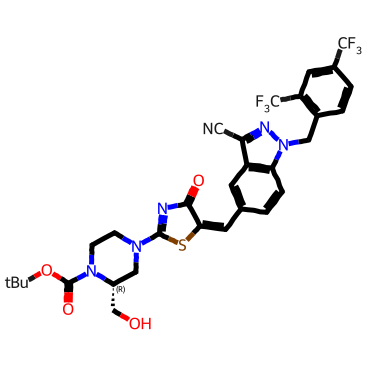 CC(C)(C)OC(=O)N1CCN(C2=NC(=O)C(=Cc3ccc4c(c3)c(C#N)nn4Cc3ccc(C(F)(F)F)cc3C(F)(F)F)S2)C[C@@H]1CO